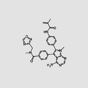 C=C(C)C(=O)Nc1ccc(-c2c(-c3ccc(C(=O)N(C)Cc4ncon4)cc3)c3c(N)ncnc3n2C)cc1